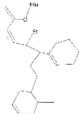 C=C(/C=C\C(CC)C(CCC1CC=CCC1C)C1=CCCCC1)OC(C)(C)C